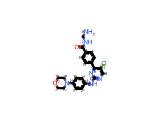 NCNC(=O)c1ccc(-c2nc(Nc3ccc(N4CCOCC4)cc3)ncc2Cl)cc1